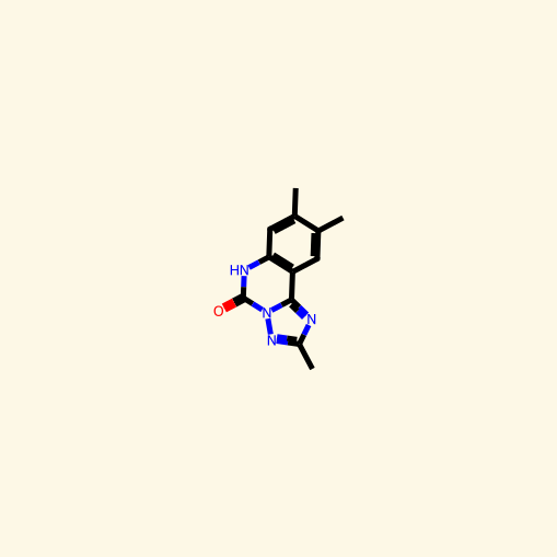 Cc1nc2c3cc(C)c(C)cc3[nH]c(=O)n2n1